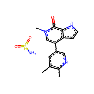 Cc1cc(-c2cn(C)c(=O)c3[nH]ccc23)cnc1C.N[SH](=O)=O